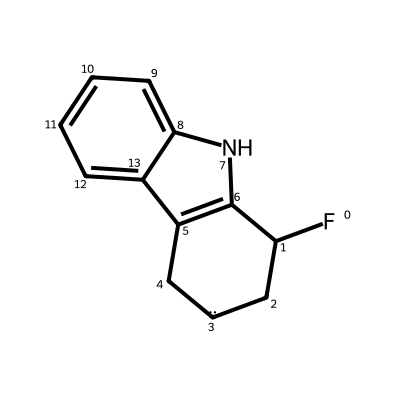 FC1C[C]Cc2c1[nH]c1ccccc21